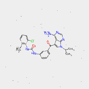 Cc1cccc(Cl)c1NC(=O)Nc1cccc(C(=O)c2cn(C(C)C)c3ncnc(N)c23)c1